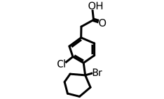 O=C(O)Cc1ccc(C2(Br)CCCCC2)c(Cl)c1